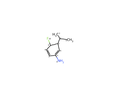 CC(C)C1C=C(N)C=CC1F